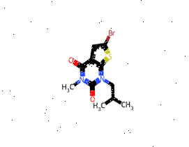 CC(C)Cn1c(=O)n(C)c(=O)c2cc(Br)sc21